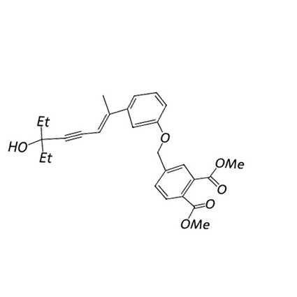 CCC(O)(C#CC=C(C)c1cccc(OCc2ccc(C(=O)OC)c(C(=O)OC)c2)c1)CC